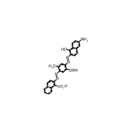 COc1cc(/N=N/c2ccc3ccccc3c2S(=O)(=O)O)c(C)cc1/N=N/c1ccc2cc(N)ccc2c1O